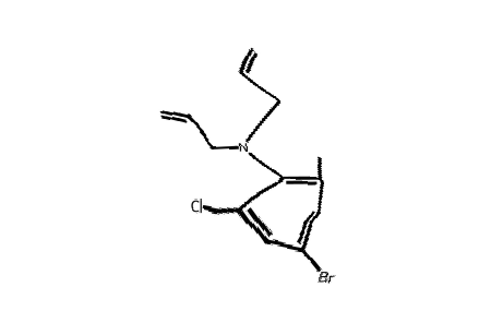 C=CCN(CC=C)c1c(C)cc(Br)cc1Cl